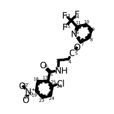 O=C(NCCCOc1cccc(C(F)(F)F)n1)c1cc([N+](=O)[O-])ccc1Cl